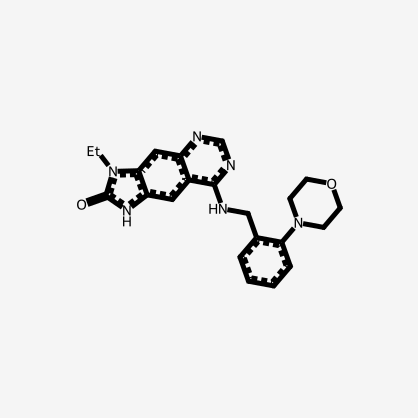 CCn1c(=O)[nH]c2cc3c(NCc4ccccc4N4CCOCC4)ncnc3cc21